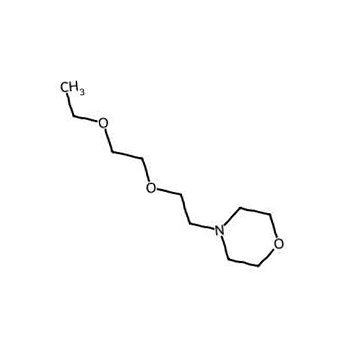 CCOCCOCCN1CCOCC1